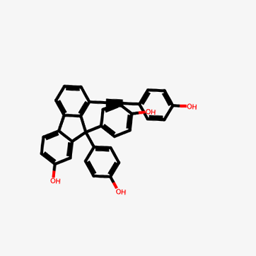 Oc1ccc(C#Cc2cccc3c2C(c2ccc(O)cc2)(c2ccc(O)cc2)c2cc(O)ccc2-3)cc1